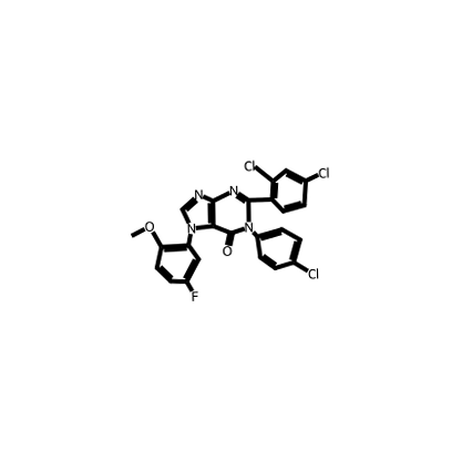 COc1ccc(F)cc1-n1cnc2nc(-c3ccc(Cl)cc3Cl)n(-c3ccc(Cl)cc3)c(=O)c21